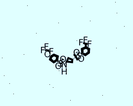 CC(C)([C@H]1C[C@@H](NS(=O)(=O)c2ccc(OC(F)(F)F)cc2)C1)S(=O)(=O)c1cccc(C(F)(F)F)c1